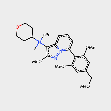 CCC[N+](C)(c1c(OC)nn2c(-c3c(OC)cc(COC)cc3OC)cccc12)C1CCOCC1